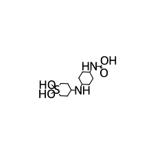 O=C(O)NC1CCC(NC2CCS(O)(O)CC2)CC1